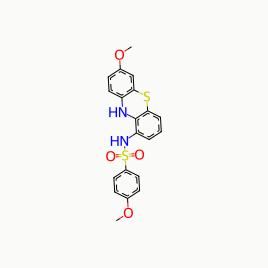 COc1ccc(S(=O)(=O)Nc2cccc3c2Nc2ccc(OC)cc2S3)cc1